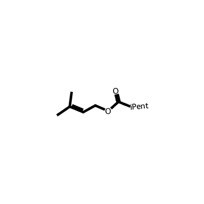 CCCC(C)C(=O)OCC=C(C)C